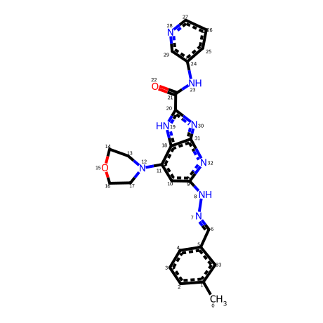 Cc1cccc(/C=N/Nc2cc(N3CCOCC3)c3[nH]c(C(=O)Nc4cccnc4)nc3n2)c1